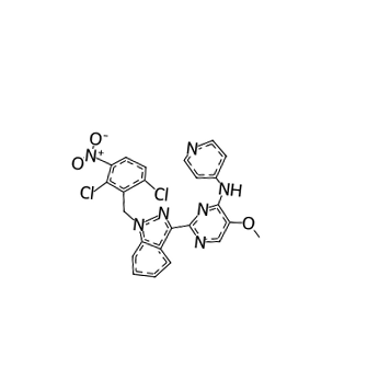 COc1cnc(-c2nn(Cc3c(Cl)ccc([N+](=O)[O-])c3Cl)c3ccccc23)nc1Nc1ccncc1